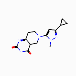 Cn1nc(C2CC2)cc1N1CCC2=NC(=O)NC(=O)C2C1